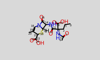 CCCC(NC(C)=O)(C(=O)O)C(=O)NC1C(=O)N2C=C(C)C(C(=O)O)S[C@H]12